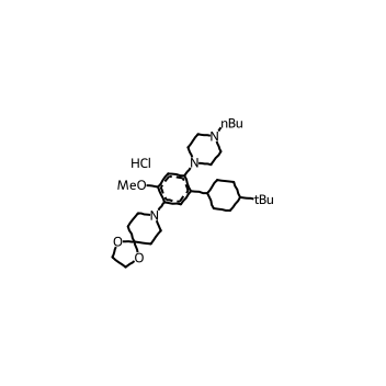 CCCCN1CCN(c2cc(OC)c(N3CCC4(CC3)OCCO4)cc2C2CCC(C(C)(C)C)CC2)CC1.Cl